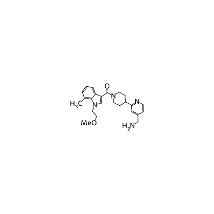 COCCn1cc(C(=O)N2CCC(c3cc(CN)ccn3)CC2)c2cccc(C)c21